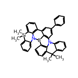 CC1(C)c2ccccc2N2c3cc(-c4ccccc4)cc4c3B(c3cccc1c32)N1c2ccccc2[Si](C)(C)c2cccc-4c21